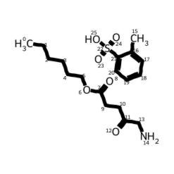 CCCCCCOC(=O)CCC(=O)CN.Cc1ccccc1S(=O)(=O)O